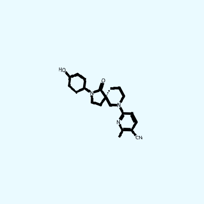 Cc1nc(N2CCC[C@@]3(CCN(C4CCC(O)CC4)C3=O)C2)ccc1C#N